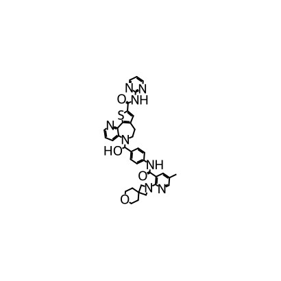 Cc1cnc(N2CC3(CCOCC3)C2)c(C(=O)Nc2ccc(C(O)N3CCc4cc(C(=O)Nc5ncccn5)sc4-c4ncccc43)cc2)c1